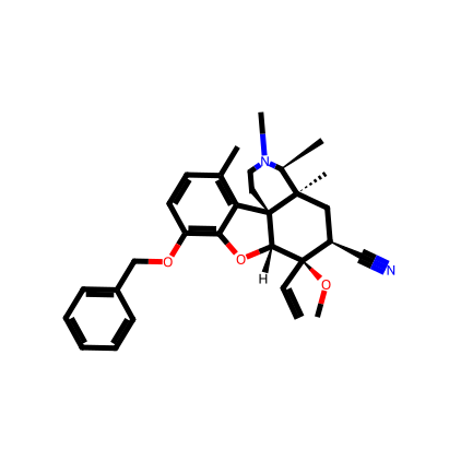 C=C[C@@]1(OC)[C@H](C#N)C[C@]2(C)[C@H](C)N(C)CC[C@@]23c2c(C)ccc(OCc4ccccc4)c2O[C@@H]13